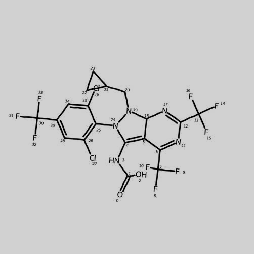 O=C(O)NC1=C2C(C(F)(F)F)=NC(C(F)(F)F)=NC2N(CC2CC2)N1c1c(Cl)cc(C(F)(F)F)cc1Cl